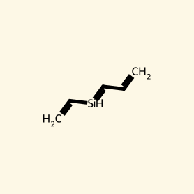 C=CC=[SiH]C=C